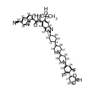 CC(C)(O)c1cc2nn(C3CCC(C4CCN(C5CCN(c6cc(F)c([C@H]7CCONO7)c(F)c6)CC5)CC4)CC3)cc2cc1NC(=O)c1ccc2cc(C#N)cnn12